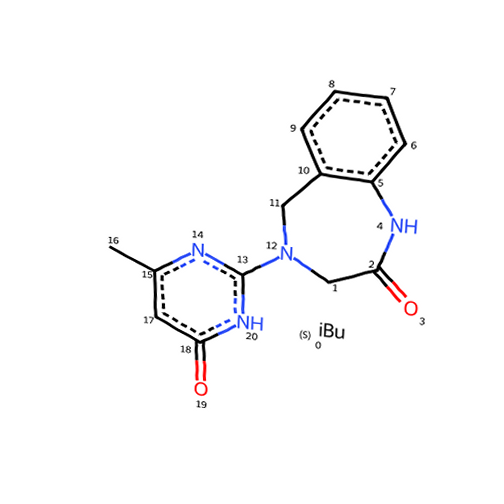 CC[C@H](C)C1C(=O)Nc2ccccc2CN1c1nc(C)cc(=O)[nH]1